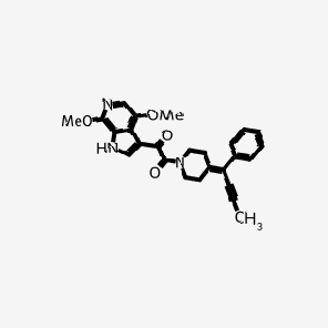 CC#CC(=C1CCN(C(=O)C(=O)c2c[nH]c3c(OC)ncc(OC)c23)CC1)c1ccccc1